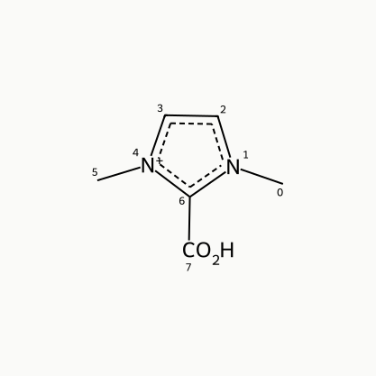 Cn1cc[n+](C)c1C(=O)O